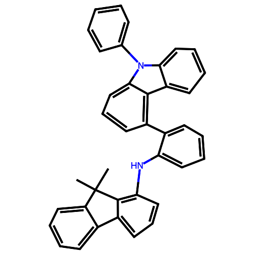 CC1(C)c2ccccc2-c2cccc(Nc3ccccc3-c3cccc4c3c3ccccc3n4-c3ccccc3)c21